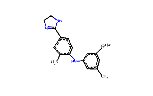 CC(=O)Nc1cc(C)cc(Nc2ccc(C3=NCCN3)cc2[N+](=O)[O-])c1